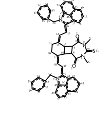 CN1C(=O)C2C(C(=O)N(C)C1=S)C1/C(=C\C=c3\c4cccc5cccc(c54)n3Cc3ccccc3)CC/C(=C/C=c3/c4cccc5cccc(c54)n3Cc3ccccc3)C21